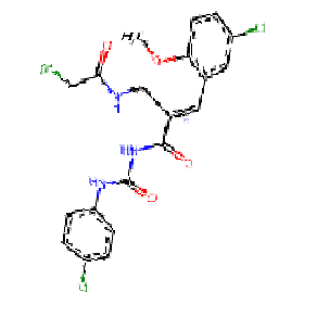 COc1ccc(Cl)cc1/C=C(\CNC(=O)CBr)C(=O)NC(=O)Nc1ccc(Cl)cc1